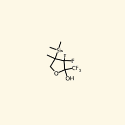 CC1([Si](C)(C)C)COC(O)(C(F)(F)F)C1(F)F